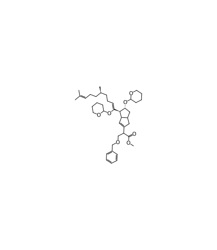 COC(=O)C(COCc1ccccc1)C1=CC2C(C1)C[C@@H](OC1CCCCO1)[C@@H]2C(=CCC[C@H](C)CCC=C(C)C)OC1CCCCO1